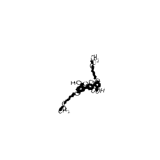 C=CC(=O)OCCCCCCOc1ccc(C(=O)O)c(-c2ccc(-c3cc(OCCCCCCOC(=O)C=C)ccc3C(=O)O)c(C)c2)c1